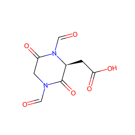 O=CN1CC(=O)N(C=O)[C@@H](CC(=O)O)C1=O